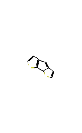 [C]1=CC2=Cc3c[c]sc3C2S1